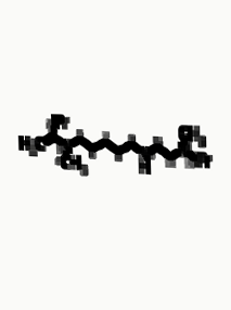 C=C(C(C)C)N(C)CCCCCNCCN(C)C(C)C